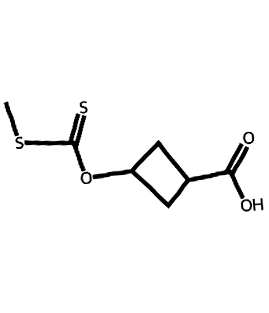 CSC(=S)OC1CC(C(=O)O)C1